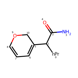 CCCC(C(N)=O)C1=CC=COC1